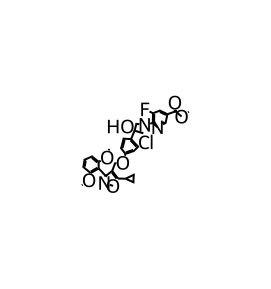 COC(=O)c1cnc(N2CC(O)(c3ccc(OCc4c(-c5c(OC)cccc5OC)noc4C4CC4)cc3Cl)C2)c(F)c1